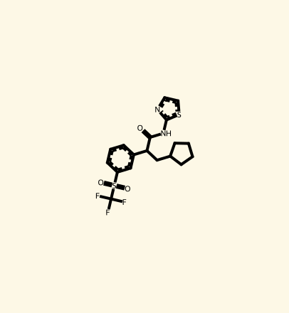 O=C(Nc1nccs1)C(CC1CCCC1)c1cccc(S(=O)(=O)C(F)(F)F)c1